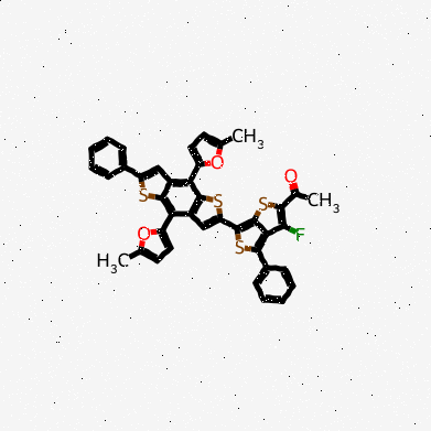 CC(=O)c1sc2c(-c3cc4c(-c5ccc(C)o5)c5sc(-c6ccccc6)cc5c(-c5ccc(C)o5)c4s3)sc(-c3ccccc3)c2c1F